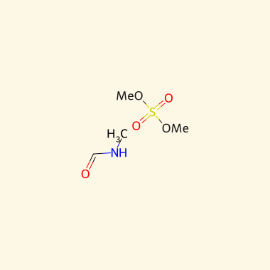 CNC=O.COS(=O)(=O)OC